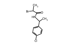 CC(Br)C(=O)NC(C)c1ccc(Cl)cc1